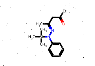 CCC(=O)C/C(C)=N/N(c1ccccc1)[Si](C)(C)C